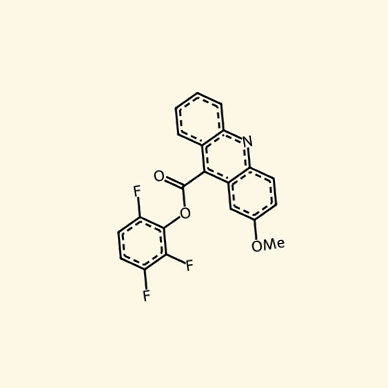 COc1ccc2nc3ccccc3c(C(=O)Oc3c(F)ccc(F)c3F)c2c1